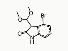 COC(OC)C1C(=O)Nc2cccc(Br)c21